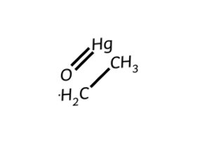 [CH2]C.[O]=[Hg]